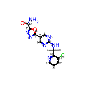 CC(C)(Nc1ncc(-c2nnc(C(N)=O)o2)cn1)c1ncccc1Cl